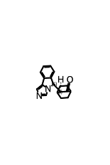 O=C1C2CCC(CC2)[C@H]1[C@H]1c2ccccc2-c2cncn21